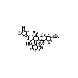 CC1(C)C[C@H](CCC(Nc2cccc(S(=O)(=O)NC(=O)c3cnc(C(C)(C)C)nc3Cl)n2)c2cc(C(C)(C)C)ccn2)CN1